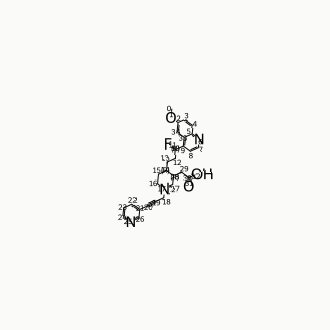 COc1ccc2nccc([C@H](F)CC[C@@H]3CCN(CC#Cc4cccnc4)C[C@@H]3CC(=O)O)c2c1